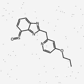 CCCOc1ccnc(CC2=NC3=CC=CC(=S=O)C3=N2)c1